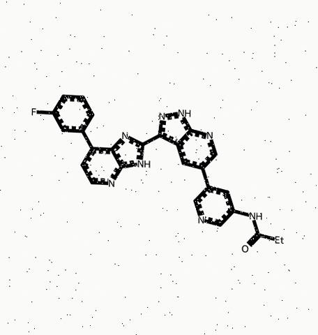 CCC(=O)Nc1cncc(-c2cnc3[nH]nc(-c4nc5c(-c6cccc(F)c6)ccnc5[nH]4)c3c2)c1